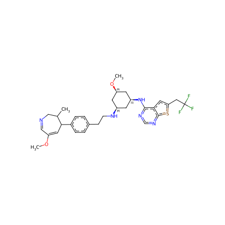 COC1=CC(c2ccc(CCN[C@@H]3C[C@H](Nc4ncnc5sc(CC(F)(F)F)cc45)C[C@H](OC)C3)cc2)C(C)CN=C1